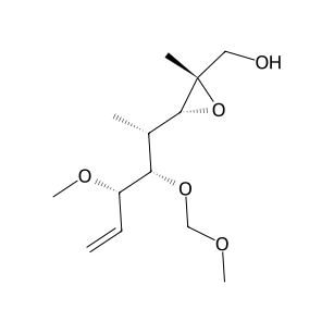 C=C[C@H](OC)[C@@H](OCOC)[C@H](C)[C@H]1O[C@@]1(C)CO